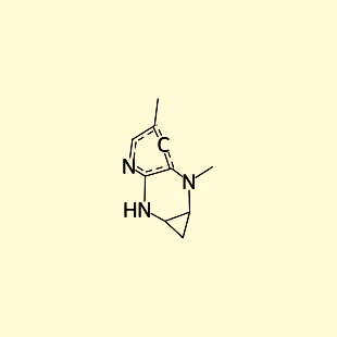 Cc1cnc2c(c1)N(C)C1CC1N2